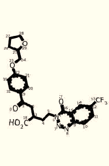 O=C(CC(CCn1nnc2ccc(C(F)(F)F)cc2c1=O)C(=O)O)c1ccc(OCC2CCCO2)cc1